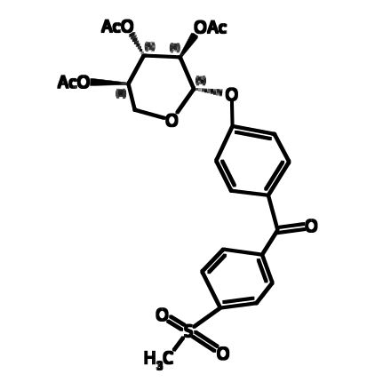 CC(=O)O[C@@H]1[C@@H](OC(C)=O)[C@H](Oc2ccc(C(=O)c3ccc(S(C)(=O)=O)cc3)cc2)OC[C@H]1OC(C)=O